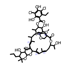 CCCC1C(O)C(O)C(OC2/C(C)=C/C(C)=C/CC(C(C)O)OC(=O)/C(COC3OC(C)C(OC(=O)c4c(O)c(Cl)c(O)c(Cl)c4CC)C(O)C3OC)=C/C=C/CC(C)/C(C)=C/C2CC)OC1(C)C